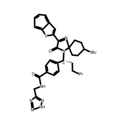 CC(C)CC[C@H](c1ccc(C(=O)NCc2nn[nH]n2)cc1)N1C(=O)C(c2cc3ccccc3s2)=NC12CCC(C(C)(C)C)CC2